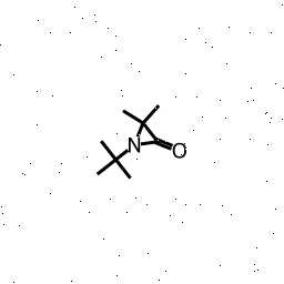 CC(C)(C)N1C(=O)C1(C)C